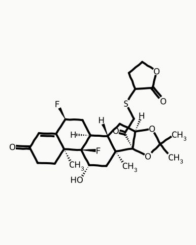 CC1(C)O[C@@H]2C[C@H]3[C@@H]4C[C@H](F)C5=CC(=O)CC[C@]5(C)[C@@]4(F)[C@@H](O)C[C@]3(C)[C@]2(C(=O)CSC2CCOC2=O)O1